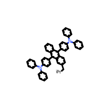 CC(C)Cc1ccc2c(-c3ccc(N(c4ccccc4)c4ccccc4)cc3)c3ccccc3c(-c3ccc(N(c4ccccc4)c4ccccc4)cc3)c2c1